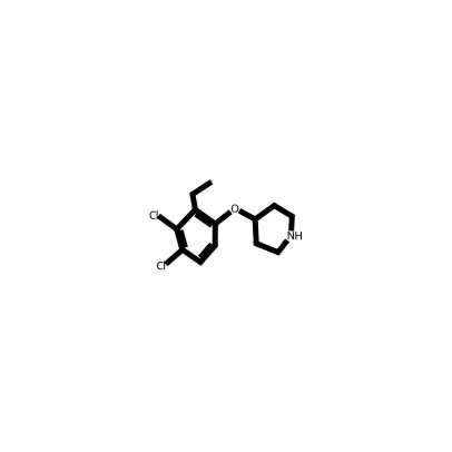 CCc1c(OC2CCNCC2)ccc(Cl)c1Cl